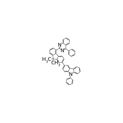 CC1(C)c2cc(-c3ccc4c(c3)c3ccccc3n4-c3ccccc3)ccc2-c2c(-c3nc(-c4ccccc4)c4ccccc4n3)cccc21